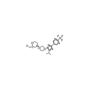 CC(C)n1nc(-c2cnc(C(F)(F)F)nc2)nc1[C@H]1CC[C@@H](N2CCO[C@H](CF)C2)C1